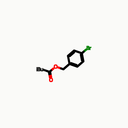 CCC(C)C(=O)OCc1ccc(Br)cc1